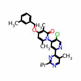 Cc1cccc(COc2cc(C)n(-c3cc(-c4nc(C(C)C)ncc4C)ncc3Cl)c(=O)c2C)c1